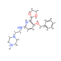 CN1CCN(CCNc2ccc(OCc3ccccc3)c(C3OCCO3)n2)CC1